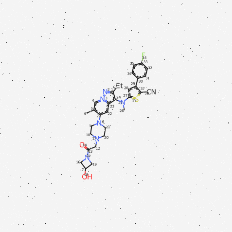 CCc1nn2cc(C)c(N3CCN(CC(=O)N4CC(O)C4)CC3)cc2c1N(C)c1cc(-c2ccc(F)cc2)c(C#N)s1